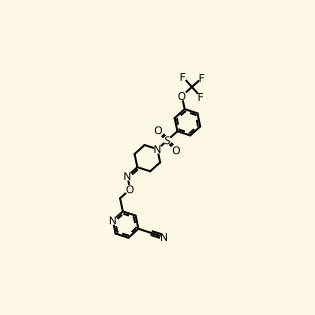 N#Cc1ccnc(CON=C2CCN(S(=O)(=O)c3cccc(OC(F)(F)F)c3)CC2)c1